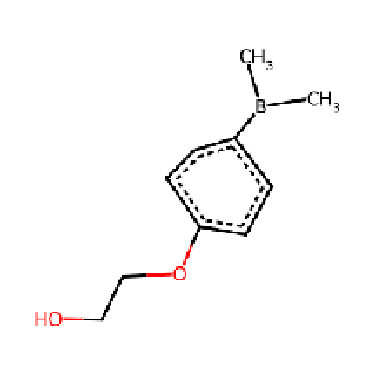 CB(C)c1ccc(OCCO)cc1